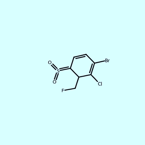 O=S(=O)=C1C=CC(Br)=C(Cl)C1CF